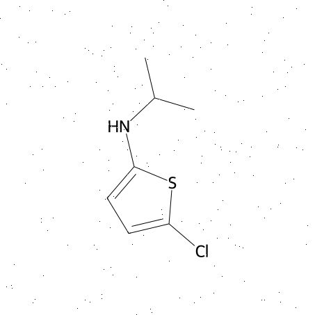 CC(C)Nc1ccc(Cl)s1